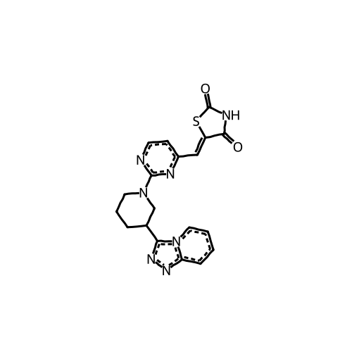 O=C1NC(=O)/C(=C/c2ccnc(N3CCCC(c4nnc5ccccn45)C3)n2)S1